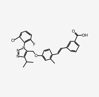 Cc1cc(OCc2c(C(C)C)nnn2-c2c(F)cccc2Cl)ccc1C=Cc1cccc(C(=O)O)c1